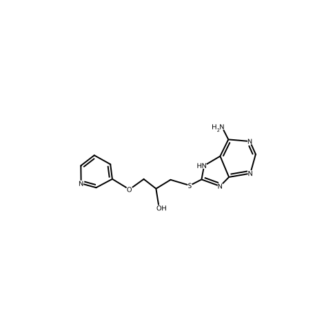 Nc1ncnc2nc(SCC(O)COc3cccnc3)[nH]c12